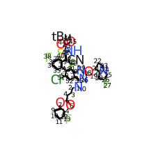 CN(CCCC(=O)Oc1cccc(F)c1)c1nc(OC[C@]23CCCN2C[C@@H](F)C3)nc2c(F)c(-c3ccc(F)c4sc(NC(=O)OC(C)(C)C)c(C#N)c34)c(Cl)cc12